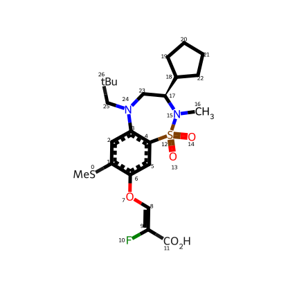 CSc1cc2c(cc1O/C=C(\F)C(=O)O)S(=O)(=O)N(C)[C@H](C1CCCC1)CN2CC(C)(C)C